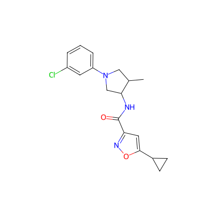 CC1CN(c2cccc(Cl)c2)CC1NC(=O)c1cc(C2CC2)on1